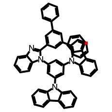 c1ccc(-c2cc(-c3ccccc3)cc(-c3nc4ccccc4n3-c3cc(-n4c5ccccc5c5ccccc54)cc(-n4c5ccccc5c5ccccc54)c3)c2)cc1